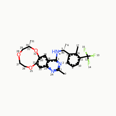 Cc1nc(N[C@H](C)c2cccc(C(F)(F)F)c2C)c2cc3c(cc2n1)OCCOC[C@H](C)O3